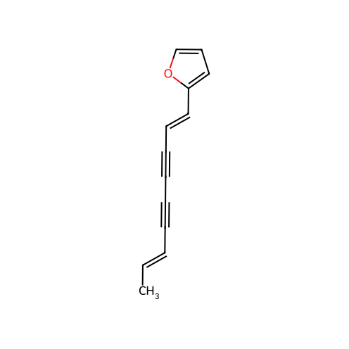 CC=CC#CC#CC=Cc1ccco1